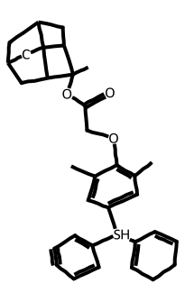 Cc1cc([SH](C2=CCCC=C2)c2cc#ccc2)cc(C)c1OCC(=O)OC1(C)C2CC3CC4CC1C42C3